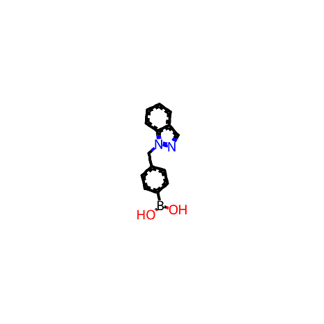 OB(O)c1ccc(Cn2ncc3ccccc32)cc1